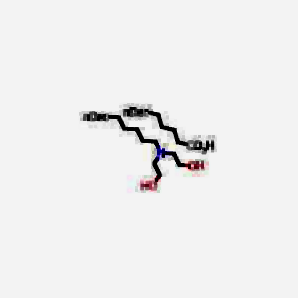 CCCCCCCCCCCCCCC(=O)O.CCCCCCCCCCCCCCCN(CCO)CCO